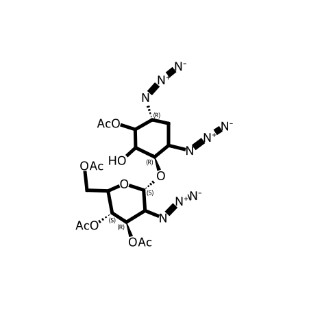 CC(=O)OCC1O[C@H](O[C@@H]2C(N=[N+]=[N-])C[C@@H](N=[N+]=[N-])C(OC(C)=O)C2O)C(N=[N+]=[N-])[C@@H](OC(C)=O)[C@@H]1OC(C)=O